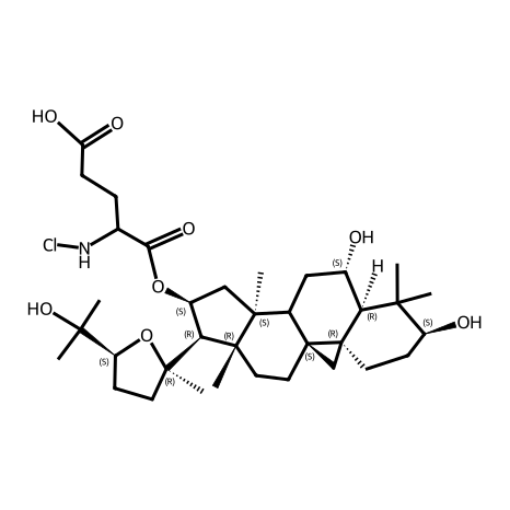 CC(C)(O)[C@@H]1CC[C@](C)([C@H]2[C@@H](OC(=O)C(CCC(=O)O)NCl)C[C@@]3(C)C4C[C@H](O)[C@H]5C(C)(C)[C@@H](O)CC[C@@]56C[C@@]46CC[C@]23C)O1